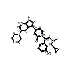 CN(/C=C(\c1cccc(Cl)c1)n1ccc(-c2c[nH]c3ncc(N4CCOCC4)cc23)cc1=O)CC1CC1